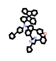 c1ccc(-c2ccc(N(c3ccc(-c4ccc5oc6cccc(-c7cc(-c8ccccc8)nc(-c8ccccc8)n7)c6c5c4)cc3)c3cccc4c3-c3ccccc3C43c4ccccc4-c4ccccc43)cc2)cc1